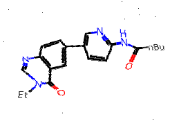 CCCCC(=O)Nc1ccc(-c2ccc3ncn(CC)c(=O)c3c2)cn1